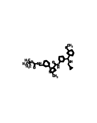 COc1cccc(C(NCC2CC2)c2cccc(NC(=O)c3cc(C)nn3-c3cccc(CNC(=O)OC(C)(C)C)c3)c2)c1